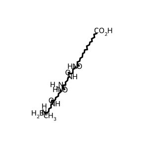 BN[C@H](C)CCCCNC(=O)CCCCCNC(=O)[C@@H](N)CCCCNC(=O)CCCNC(=O)CCCCCCCCCCCCCCCCC(=O)O